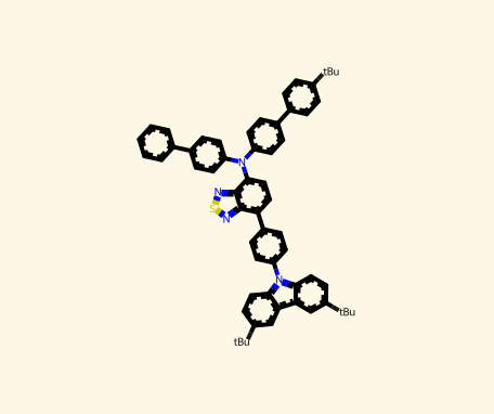 CC(C)(C)c1ccc(-c2ccc(N(c3ccc(-c4ccccc4)cc3)c3ccc(-c4ccc(-n5c6ccc(C(C)(C)C)cc6c6cc(C(C)(C)C)ccc65)cc4)c4nsnc34)cc2)cc1